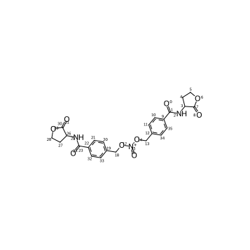 O=C(NC1CCOC1=O)c1ccc(CO[N+](=O)OCc2ccc(C(=O)NC3CCOC3=O)cc2)cc1